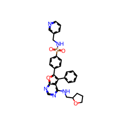 O=S(=O)(NCc1cccnc1)c1ccc(-c2oc3ncnc(NCC4CCCO4)c3c2-c2ccccc2)cc1